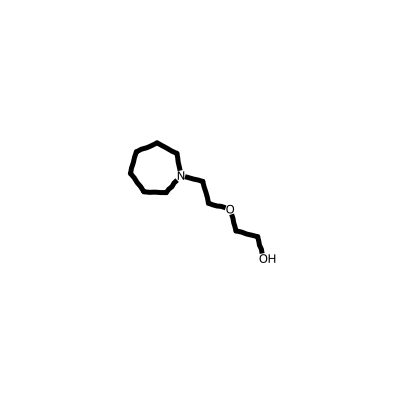 OCCOCCN1CCCCCC1